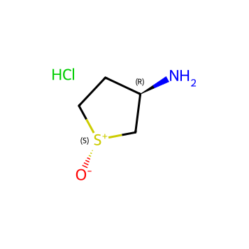 Cl.N[C@@H]1CC[S@@+]([O-])C1